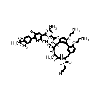 Cc1nc(-c2ccc(C(C)(C)C)cc2)c(Br)cc1C(=O)N[C@@H](CCN)C(=O)N(C)[C@@H]1C(=O)N[C@@H](C)C(=O)N[C@H](C(=O)NCC#N)Cc2ccc(OCCN)c(c2)-c2cc1ccc2OCCN